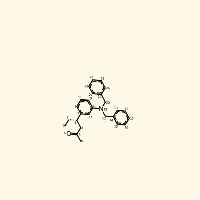 CC[C@@H](CC(C)=O)c1cccc(N(Cc2ccccc2)Cc2ccccc2)c1